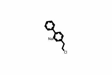 ClCCc1ccc(-c2ccccc2)cc1.[NaH]